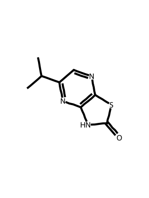 CC(C)c1cnc2sc(=O)[nH]c2n1